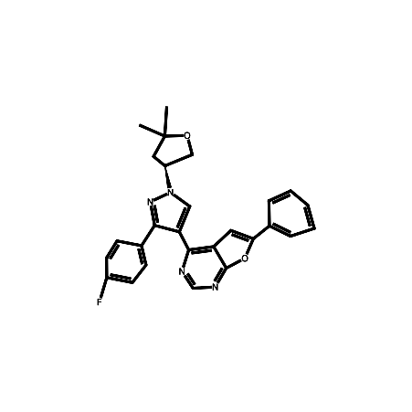 CC1(C)C[C@H](n2cc(-c3ncnc4oc(-c5ccccc5)cc34)c(-c3ccc(F)cc3)n2)CO1